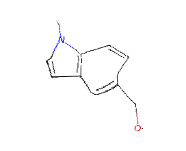 Cn1ccc2cc(C[O])ccc21